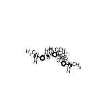 CC1CNC(c2cccc(NC(=O)Nc3ccc(NC(=O)Nc4cccc(C5=NC(C)CN5)c4)c(C(C)(C)C)c3)c2)=N1